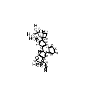 CC(C)(C)N(C(=O)O)C1(c2ccc(-c3nc4c(cc3-c3ccccc3)N(CC#N)S(O)(O)CO4)cc2)CCC1